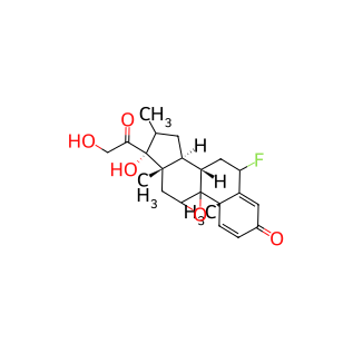 CC1C[C@H]2[C@@H]3CC(F)C4=CC(=O)C=C[C@]4(C)C34OC4C[C@]2(C)[C@@]1(O)C(=O)CO